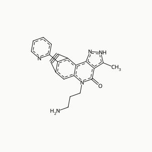 Cc1[nH]nc2c1c(=O)n(CCCN)c1cc3c(-c4ccccn4)c(c21)C#C3